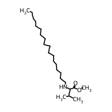 CCCCCCCCCCCCCCCCCCNC(C(=O)OC)C(C)C